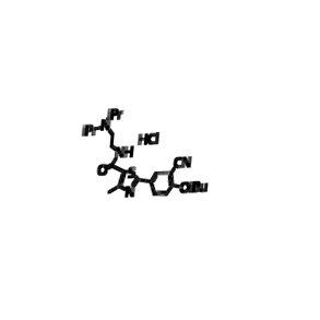 Cc1nc(-c2ccc(OCC(C)C)c(C#N)c2)sc1C(=O)NCCN(C(C)C)C(C)C.Cl